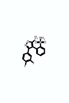 Cc1onc(-c2ccc(F)c(F)c2)c1-c1ccccc1S(N)(=O)=O